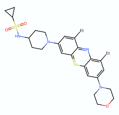 CCc1cc(N2CCOCC2)cc2[s+]c3cc(N4CCC(NS(=O)(=O)C5CC5)CC4)cc(CC)c3nc12